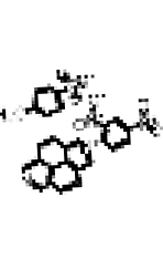 Cc1ccc(S(=O)(=O)[O-])cc1.O=[N+]([O-])c1ccc(-[n+]2cc3ccc4cncc5ccc(c2)c3c45)c([N+](=O)[O-])c1